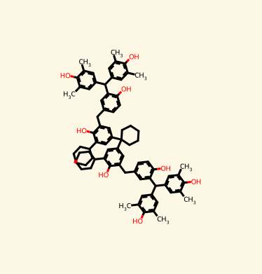 Cc1cc(C(c2cc(C)c(O)c(C)c2)c2cc(Cc3cc(C4(c5cc(Cc6ccc(O)c(C(c7cc(C)c(O)c(C)c7)c7cc(C)c(O)c(C)c7)c6)c(O)c(C6CCCCC6)c5)CCCCC4)cc(C4CCCCC4)c3O)ccc2O)cc(C)c1O